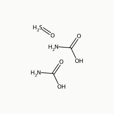 NC(=O)O.NC(=O)O.O=[SH2]